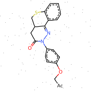 CC(=O)COc1ccc(N2N=C3c4ccccc4SCC3CC2=O)cc1